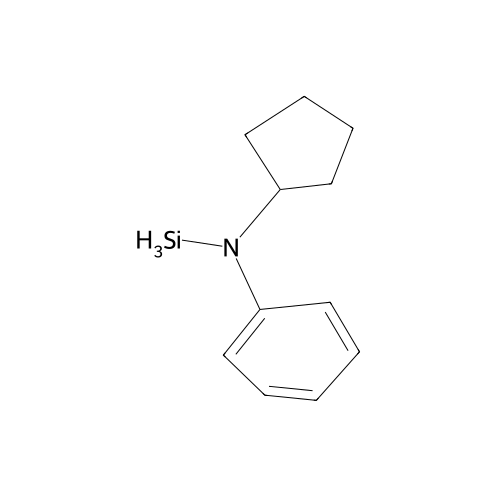 [SiH3]N(c1ccccc1)C1CCCC1